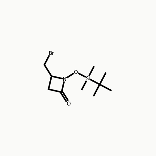 CC(C)(C)[Si](C)(C)ON1C(=O)CC1CBr